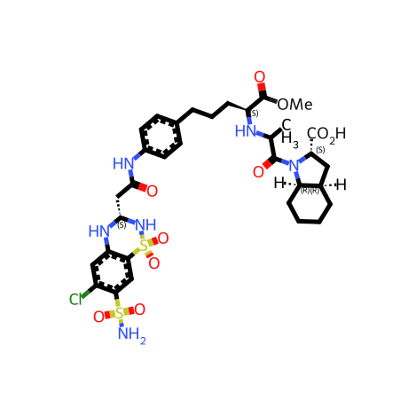 COC(=O)[C@H](CCCc1ccc(NC(=O)C[C@H]2Nc3cc(Cl)c(S(N)(=O)=O)cc3S(=O)(=O)N2)cc1)NC(C)C(=O)N1[C@@H]2CCCC[C@@H]2C[C@H]1C(=O)O